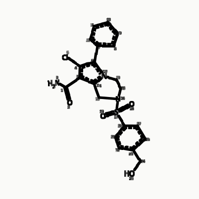 NC(=O)c1c(Cl)c(-c2ccccc2)n2c1CN(S(=O)(=O)c1ccc(CO)cc1)CC2